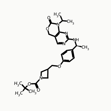 CC(C)N1C(=O)OCc2cnc(N[C@@H](C)c3ccc(OCC4CN(C(=O)OC(C)(C)C)C4)cc3)nc21